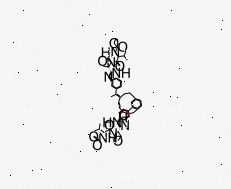 COC(=O)N[C@H](C(=O)N1COC[C@H]1c1nc2cc(/C(C)=C3/C=C\[C@H](C)CCc4ccc(cc4-c4ccc5[nH]c([C@@H]6COCN6C(=O)[C@@H](NC(=O)OC)C(C)C)nc5c4)CC3)ccc2[nH]1)C(C)C